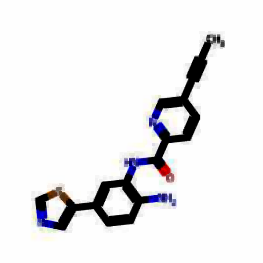 CC#Cc1ccc(C(=O)Nc2cc(-c3cncs3)ccc2N)nc1